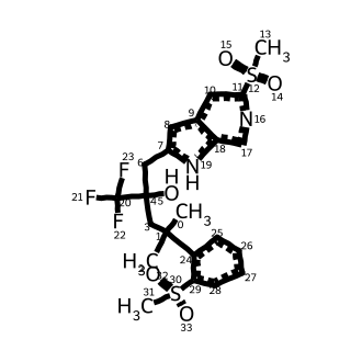 CC(C)(CC(O)(Cc1cc2cc(S(C)(=O)=O)ncc2[nH]1)C(F)(F)F)c1ccccc1S(C)(=O)=O